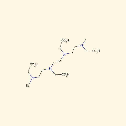 CCN(CCN(CCN(CCN(C)CC(=O)O)CC(=O)O)CC(=O)O)CC(=O)O